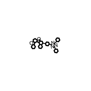 c1ccc(-c2nc(-c3ccccc3)nc(-c3ccc(-c4cc5oc6ccc7oc8ccccc8c7c6c5c5ccccc45)cc3)n2)cc1